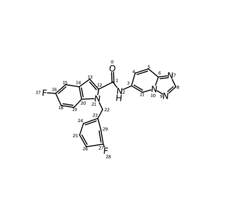 O=C(Nc1ccc2ncnn2c1)c1cc2cc(F)ccc2n1Cc1cccc(F)c1